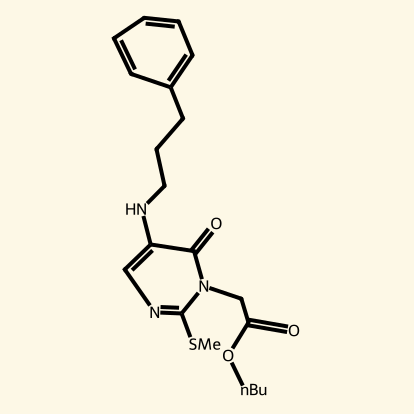 CCCCOC(=O)Cn1c(SC)ncc(NCCCc2ccccc2)c1=O